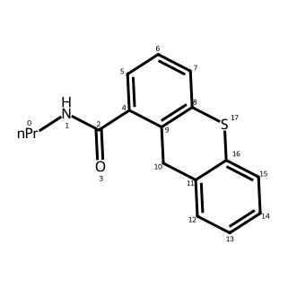 CCCNC(=O)c1cccc2c1Cc1ccccc1S2